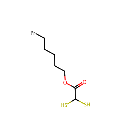 CC(C)CCCCCOC(=O)C(S)S